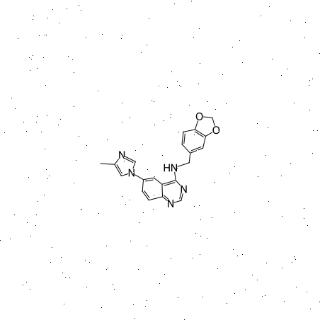 Cc1cn(-c2ccc3ncnc(NCc4ccc5c(c4)OCO5)c3c2)cn1